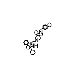 COc1ccc(CN2CCC3(CCN(CC[C@H](NC(=O)C4CCCCC4)c4ccccc4)CC3)C2=O)cc1